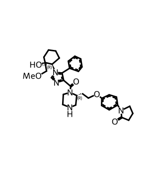 COC[C@]1(O)CCCC[C@H]1n1cnc(C(=O)N2CCNC[C@H]2CCOc2ccc(N3CCCC3=O)cc2)c1-c1ccccc1